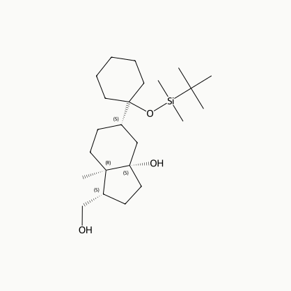 CC(C)(C)[Si](C)(C)OC1([C@H]2CC[C@]3(C)[C@@H](CO)CC[C@]3(O)C2)CCCCC1